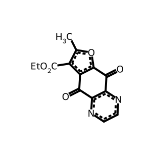 CCOC(=O)c1c(C)oc2c1C(=O)c1nccnc1C2=O